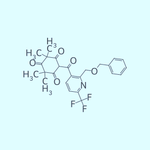 CC1(C)C(=O)C(C(=O)c2ccc(C(F)(F)F)nc2COCc2ccccc2)C(=O)C(C)(C)C1=O